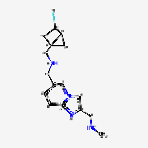 CNCc1cn2cc(CNCC34CC(F)C3C4)ccc2n1